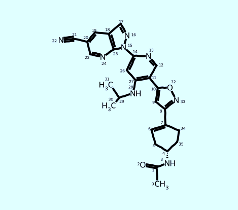 CC(=O)N[C@@H]1CC=C(c2cc(-c3cnc(-n4ncc5cc(C#N)cnc54)cc3NC(C)C)on2)CC1